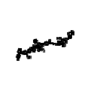 CC(C)[C@@H](C(=O)N1C[C@H](O)C[C@H]1C(=O)NCc1ccc2c(c1)OCc1ncsc1-2)c1cc(OCCCCC(=O)N2CCN(CC[C@H](CSc3ccccc3)Nc3ccc(S(=O)(=O)NC(=O)c4ccc(N5CCN(CC6=C(c7ccc(Cl)cc7)CCC(C)(C)C6)C[C@@H]5CCO)cc4)cc3S(=O)(=O)C(F)(F)F)CC2)no1